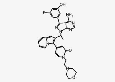 CC(c1cc2ccccn2c1-c1ccn(CCN2CCOCC2)c(=O)c1)n1nc(-c2cc(O)cc(F)c2)c2c(N)ncnc21